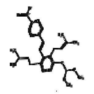 COC(OC)Oc1ccc(CC=C(C)C)c(C=Cc2ccc([N+](=O)[O-])cc2)c1CC=C(C)C